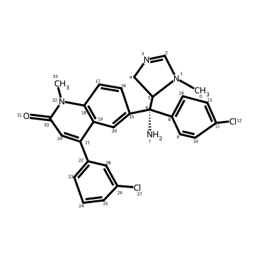 CN1C=NCC1[C@@](N)(c1ccc(Cl)cc1)c1ccc2c(c1)c(-c1cccc(Cl)c1)cc(=O)n2C